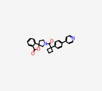 O=C1OC2(CCN(C(=O)C3(c4ccc(-c5ccncc5)cc4)CCC3)C2)c2ccccc21